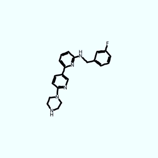 Fc1cccc(CNc2cccc(-c3ccc(N4CCNCC4)nc3)n2)c1